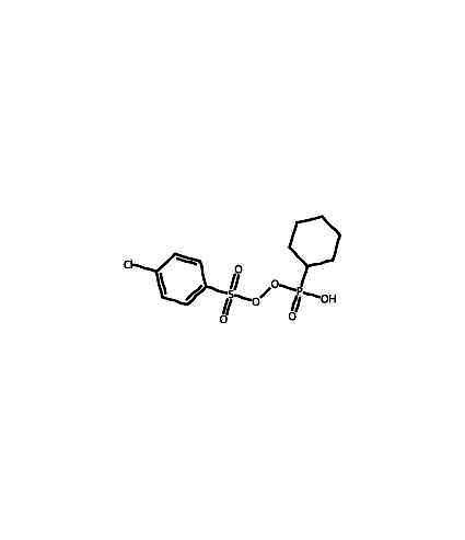 O=P(O)(OOS(=O)(=O)c1ccc(Cl)cc1)C1CCCCC1